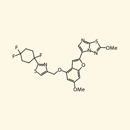 COc1cc(OCc2csc(C3(F)CCC(F)(F)CC3)n2)c2cc(-c3cnc4sc(OC)nn34)oc2c1